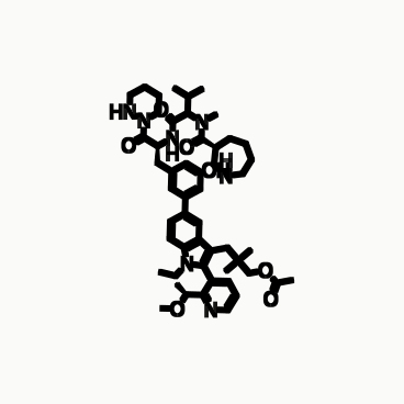 CCn1c(-c2cccnc2[C@H](C)OC)c(CC(C)(C)COC(C)=O)c2cc(-c3cc(O)cc(C[C@H](NC(=O)C(C(C)C)N(C)C(=O)[C@H]4CCCCNC4)C(=O)N4CCCCN4)c3)ccc21